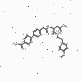 COC(=O)CC(NC(=O)Cc1ccc(-c2ccc(C(=N)N)cc2)cc1)C(=O)NCCc1ccc(OC)cc1